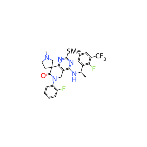 CSc1nc(N[C@H](C)c2cccc(C(F)(F)F)c2F)c2c(n1)C1(CCN(C)C1)C(=O)N(c1ccccc1F)C2